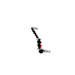 CCCCCCCCCCCCCCCCCCCCOC(C)c1ccc(-c2ccc(C(=O)Oc3ccccc3OCCCCCCCC)cc2)cc1